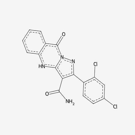 NC(=O)c1c(-c2ccc(Cl)cc2Cl)nn2c(=O)c3ccccc3[nH]c12